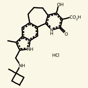 Cc1c(CNC2(C)CCC2)[nH]c2cc3c(cc12)CCCc1c-3[nH]c(=O)c(C(=O)O)c1O.Cl